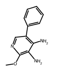 COc1ncc(-c2ccccc2)c(N)c1N